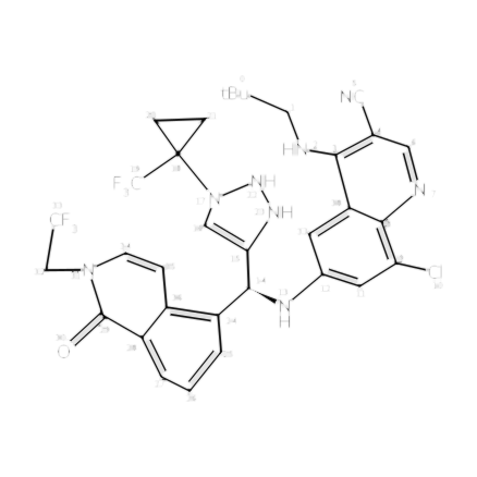 CC(C)(C)CNc1c(C#N)cnc2c(Cl)cc(N[C@H](C3=CN(C4(C(F)(F)F)CC4)NN3)c3cccc4c(=O)n(CC(F)(F)F)ccc34)cc12